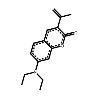 C=C(C)c1cc2ccc(N(CC)CC)cc2oc1=O